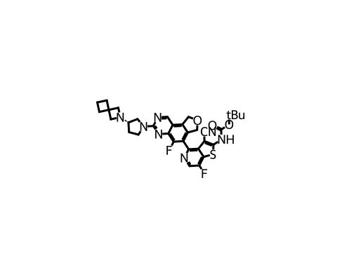 CC(C)(C)OC(=O)Nc1sc2c(F)cnc(-c3c4c(c5cnc(N6CC[C@H](N7CC8(CCC8)C7)C6)nc5c3F)COC4)c2c1C#N